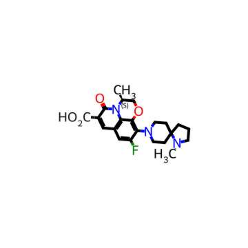 C[C@H]1COc2c(N3CCC4(CCCN4C)CC3)c(F)cc3cc(C(=O)O)c(=O)n1c23